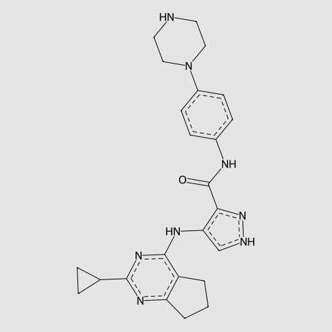 O=C(Nc1ccc(N2CCNCC2)cc1)c1n[nH]cc1Nc1nc(C2CC2)nc2c1CCC2